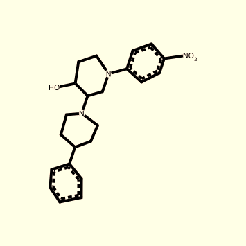 O=[N+]([O-])c1ccc(N2CCC(O)C(N3CCC(c4ccccc4)CC3)C2)cc1